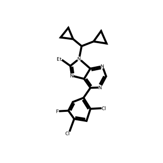 CCc1nc2c(-c3cc(F)c(Cl)cc3Cl)ncnc2n1C(C1CC1)C1CC1